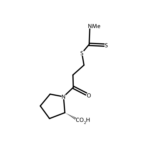 CNC(=S)SCCC(=O)N1CCC[C@H]1C(=O)O